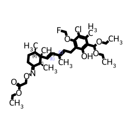 CCOC(=O)CON=C1CC[C@@H](C)[C@](C)(/C=C/C(C)=C/Cc2c(O)c(C(OCC)OCC)c(C)c(Cl)c2OCF)[C@H]1C